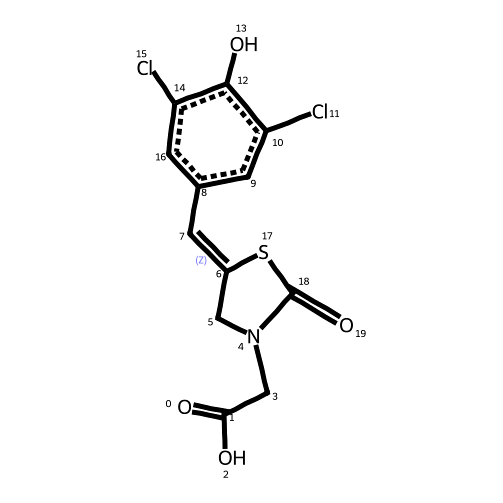 O=C(O)CN1C/C(=C/c2cc(Cl)c(O)c(Cl)c2)SC1=O